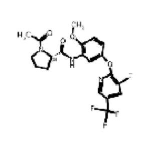 COc1ccc(Oc2ncc(C(F)(F)F)cc2F)cc1NC(=O)[C@@H]1CCCN1C(C)=O